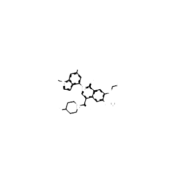 COc1cc2c(C(=O)N3CCC(F)CC3)cn(-c3cc(F)cc4c3ccn4C)c(=O)c2cc1OCF